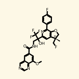 COc1cc(C(=O)NCC(O)(c2cc3c(c(-c4ccc(F)cc4)n2)OC[C@]3(C)CF)C(F)(F)F)cc2cncnc12